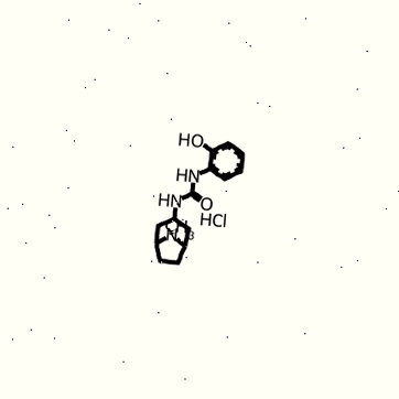 CN1C2CCC1CC(NC(=O)Nc1ccccc1O)C2.Cl